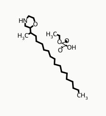 CCCCCCCCCCCCCCCCC(C)C1CNCCO1.CCOS(=O)(=O)O